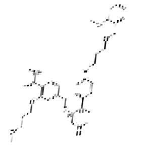 CNC(=O)c1ccc(CO[C@H]2CNCC[C@@H]2c2ccc(OCCCOCc3ccccc3OC)cc2)cc1OCCCOC